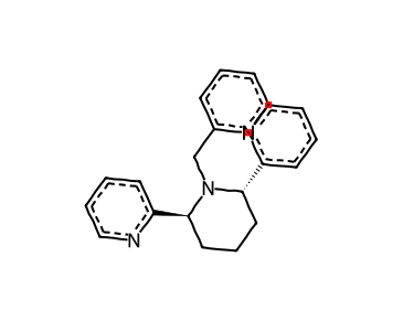 c1ccc(CN2[C@H](c3ccccn3)CCC[C@H]2c2ccccn2)nc1